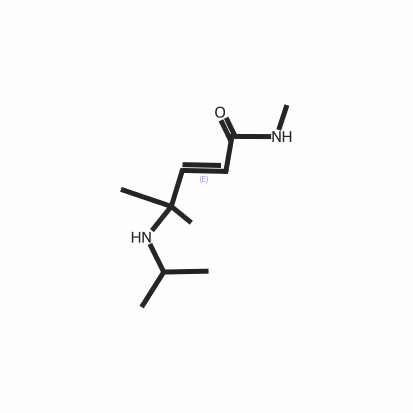 CNC(=O)/C=C/C(C)(C)NC(C)C